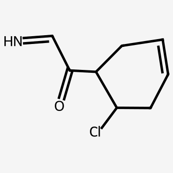 N=CC(=O)C1CC=CCC1Cl